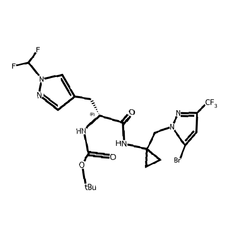 CC(C)(C)OC(=O)N[C@H](Cc1cnn(C(F)F)c1)C(=O)NC1(Cn2nc(C(F)(F)F)cc2Br)CC1